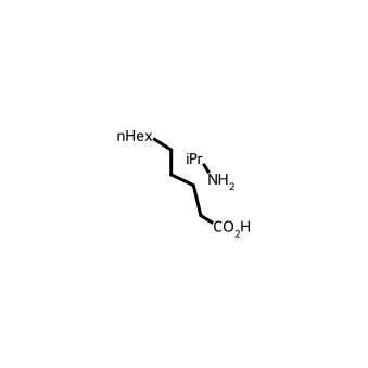 CC(C)N.CCCCCCCCCCC(=O)O